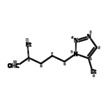 CCc1cnnn1CCCC(C=O)CC